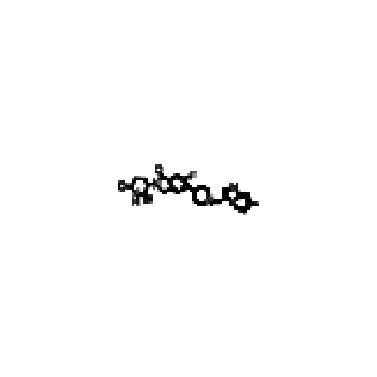 Cc1ccn2c(CN3CCC(c4cc5c(cc4F)C(=O)N(C4CCC(=O)NC4=O)C5)CC3)cnc2c1